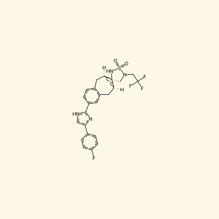 O=S1(=O)N[C@@]2(CN1CC(F)(F)F)[C@@H]1CC[C@H]2Cc2ccc(-c3nc(-c4ccc(F)cc4)c[nH]3)cc2C1